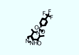 CC1C(=O)c2[nH]ncc2C(C)N1S(=O)(=O)c1ccc(C(F)(F)F)cc1